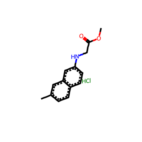 COC(=O)CNc1ccc2ccc(C)cc2c1.Cl